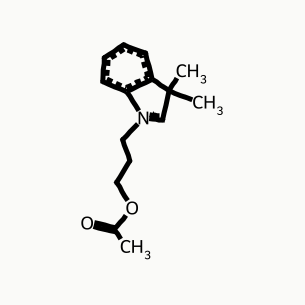 CC(=O)OCCC[N+]1=CC(C)(C)c2ccccc21